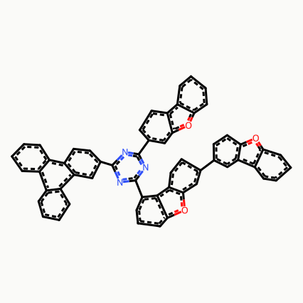 c1ccc2c(c1)oc1cc(-c3nc(-c4ccc5c6ccccc6c6ccccc6c5c4)nc(-c4cccc5oc6cc(-c7ccc8oc9ccccc9c8c7)ccc6c45)n3)ccc12